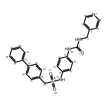 O=C(NCc1ccncc1)Nc1ccc(NS(=O)(=O)Cc2ccc(-c3ccccc3)cc2)cc1